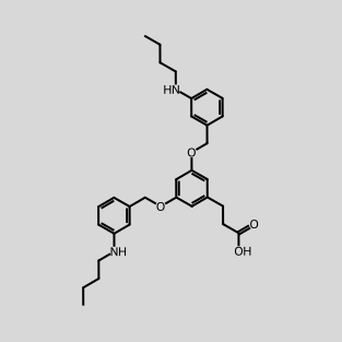 CCCCNc1cccc(COc2cc(CCC(=O)O)cc(OCc3cccc(NCCCC)c3)c2)c1